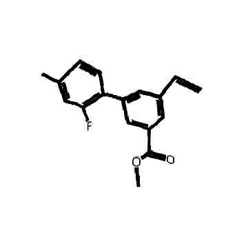 C=Cc1cc(C(=O)OC)cc(-c2ccc(C)cc2F)c1